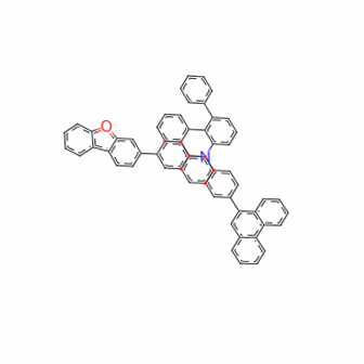 c1ccc(-c2ccccc2-c2c(-c3ccccc3)cccc2N(c2ccc(-c3ccc4c(c3)oc3ccccc34)cc2)c2ccc(-c3cc4ccccc4c4ccccc34)cc2)cc1